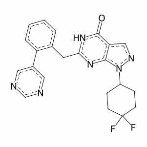 O=c1[nH]c(Cc2ccccc2-c2cncnc2)nc2c1cnn2C1CCC(F)(F)CC1